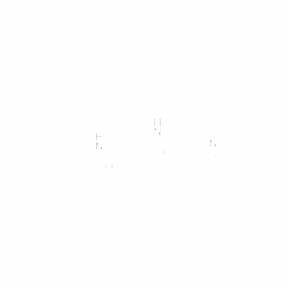 CON(C)C/C=C/C(=O)Nc1ccc(C(=O)NC2CCCCC2)cc1